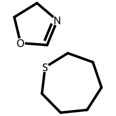 C1=NCCO1.C1CCCSCC1